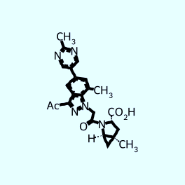 CC(=O)c1nn(CC(=O)N2[C@H](C(=O)O)C[C@@]3(C)C[C@@H]23)c2c(C)cc(-c3cnc(C)nc3)cc12